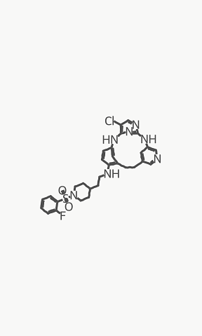 O=S(=O)(c1ccccc1F)N1CCC(CCNc2ccc3cc2CCc2cncc(c2)Nc2ncc(Cl)c(n2)N3)CC1